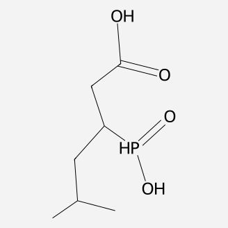 CC(C)CC(CC(=O)O)[PH](=O)O